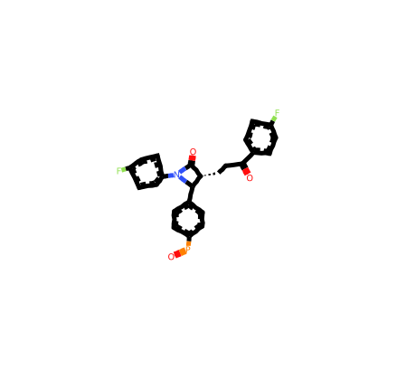 O=Pc1ccc(C2[C@@H](CCC(=O)c3ccc(F)cc3)C(=O)N2c2ccc(F)cc2)cc1